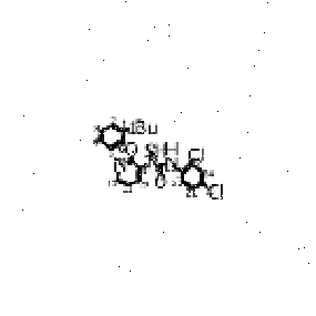 CC(C)(C)c1ccccc1Oc1ncccc1N(S)C(=O)Nc1ccc(Cl)cc1Cl